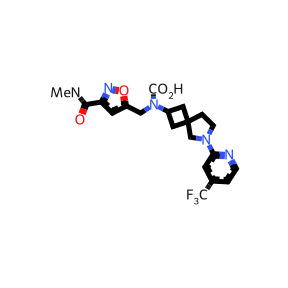 CNC(=O)c1cc(CN(C(=O)O)C2CC3(CCN(c4cc(C(F)(F)F)ccn4)C3)C2)on1